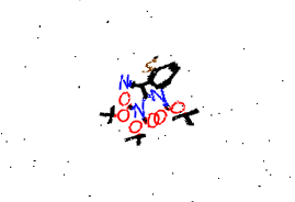 CSc1cccc2c1c(C#N)c(N(C(=O)OC(C)(C)C)C(=O)OC(C)(C)C)n2C(=O)OC(C)(C)C